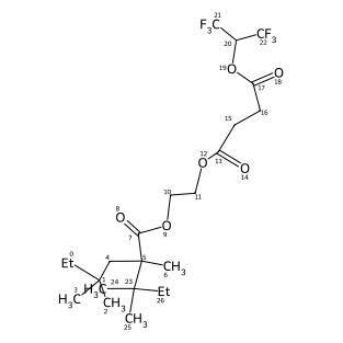 CCC(C)(C)CC(C)(C(=O)OCCOC(=O)CCC(=O)OC(C(F)(F)F)C(F)(F)F)C(C)(C)CC